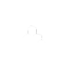 CC(C)CC1OC(C)CCS1